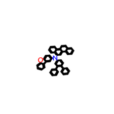 c1ccc(-c2ccc(N(c3ccc4oc5ccccc5c4c3)c3cc4c5ccccc5ccc4c4ccccc34)cc2-c2ccccc2)cc1